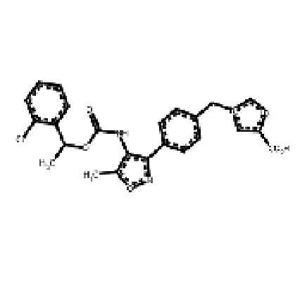 Cc1onc(-c2ccc(Cn3cnc(C(=O)O)c3)cc2)c1NC(=O)OC(C)c1ccccc1Cl